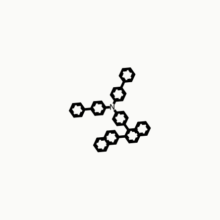 c1ccc(-c2ccc(N(c3ccc(-c4ccccc4)cc3)c3ccc(-c4c(-c5ccc6ccccc6c5)ccc5ccccc45)cc3)cc2)cc1